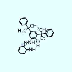 CCC(C)(c1ccccc1)c1cc(C(C)(C)c2ccccc2)cc(N/N=C2/C=CC=CC2=N)c1O